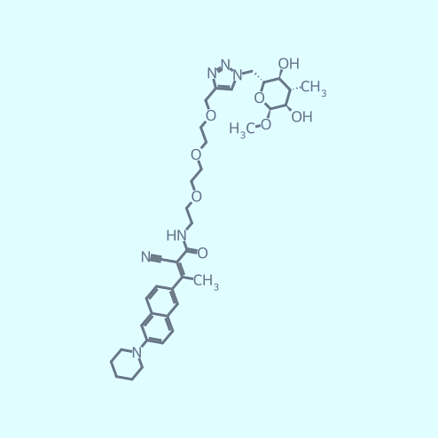 CO[C@H]1O[C@H](Cn2cc(COCCOCCOCCNC(=O)/C(C#N)=C(\C)c3ccc4cc(N5CCCCC5)ccc4c3)nn2)[C@@H](O)[C@H](C)[C@H]1O